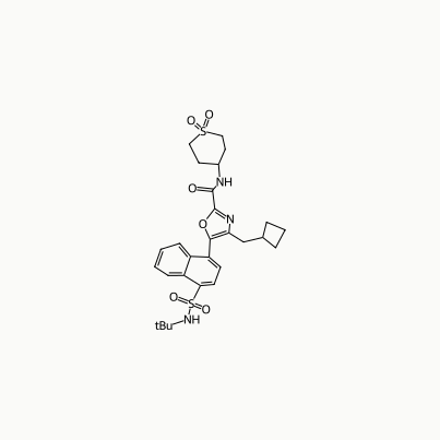 CC(C)(C)NS(=O)(=O)c1ccc(-c2oc(C(=O)NC3CCS(=O)(=O)CC3)nc2CC2CCC2)c2ccccc12